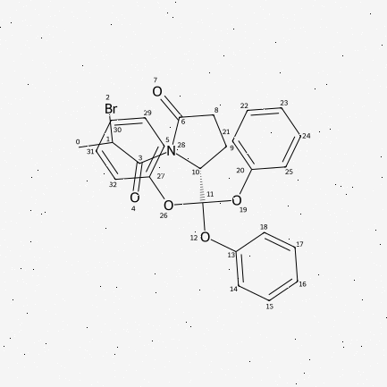 CC(Br)C(=O)N1C(=O)CC[C@@H]1C(Oc1ccccc1)(Oc1ccccc1)Oc1ccccc1